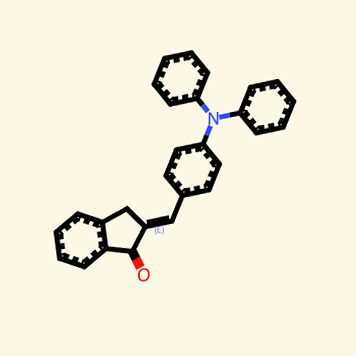 O=C1/C(=C/c2ccc(N(c3ccccc3)c3ccccc3)cc2)Cc2ccccc21